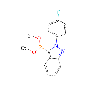 CCOP(OCC)c1c2ccccc2nn1-c1ccc(F)cc1